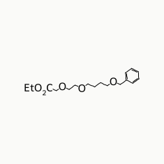 CCOC(=O)COCCOCCCCOCc1ccccc1